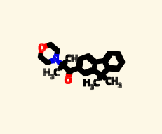 CC1(C)c2ccccc2-c2ccc(C(=O)C(C)(C)N3CCOCC3)cc21